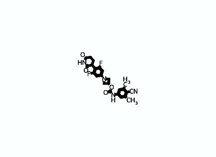 Cc1cc(NC(=O)OC2CN(c3cc(F)c(C4CCC(=O)NC4=O)c(F)c3)C2)cc(C)c1C#N